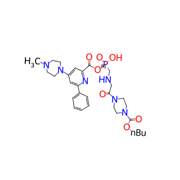 CCCCOC(=O)N1CCN(C(=O)CNC[P@@](=O)(O)OC(=O)c2cc(N3CCN(C)CC3)cc(-c3ccccc3)n2)CC1